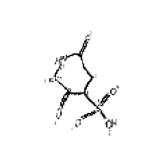 O=C1CC(S(=O)(=O)O)C(=O)NN1